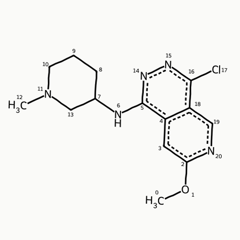 COc1cc2c(NC3CCCN(C)C3)nnc(Cl)c2cn1